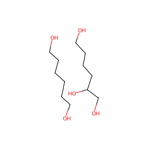 OCCCCC(O)CO.OCCCCCCO